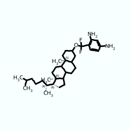 CC(C)CCC[C@@H](C)[C@H]1CCC2C3CCC4CC(OC(F)(F)c5ccc(N)cc5N)CC[C@]4(C)C3CC[C@@]21C